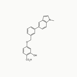 Cn1ccc2cc(-c3cccc(COc4ccc(C(=O)O)c(O)c4)c3)ccc21